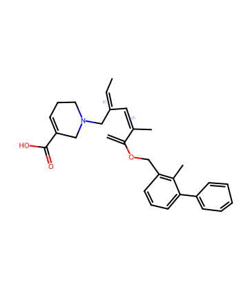 C=C(OCc1cccc(-c2ccccc2)c1C)/C(C)=C\C(=C/C)CN1CCC=C(C(=O)O)C1